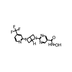 O=C(NO)c1cnc(N2CC3[C@H]2CN3c2cc(C(F)(F)F)ccn2)nc1